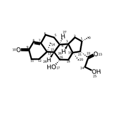 C[C@H]1C[C@H]2[C@@H]3CCC4=CC(=O)CC[C@]4(C)[C@H]3[C@@H](O)C[C@]2(C)[C@H]1C(=O)CO